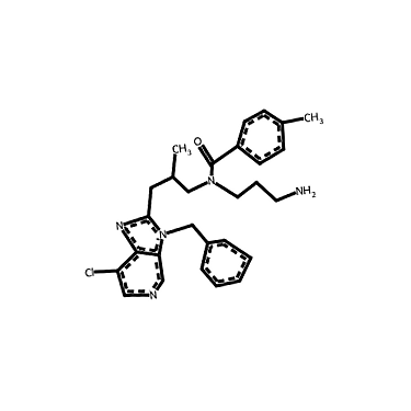 Cc1ccc(C(=O)N(CCCN)CC(C)Cc2nc3c(Cl)cncc3n2Cc2ccccc2)cc1